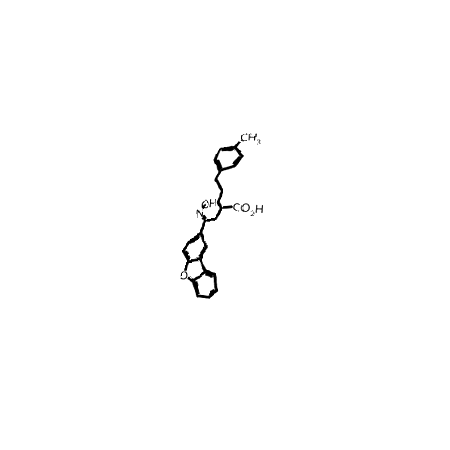 Cc1ccc(CCCC(C/C(=N\O)c2ccc3oc4ccccc4c3c2)C(=O)O)cc1